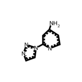 Nc1ccnc(-n2ccnn2)c1